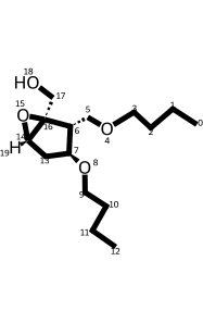 CCCCOC[C@@H]1[C@@H](OCCCC)C[C@H]2O[C@@]12CO